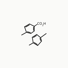 Cc1ccc(C(=O)O)cc1.Cc1ccc(C)cc1